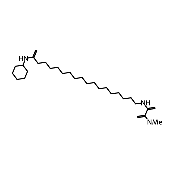 C=C(CCCCCCCCCCCCCCCCCNC(=C)C(=C)NC)NC1CCCCC1